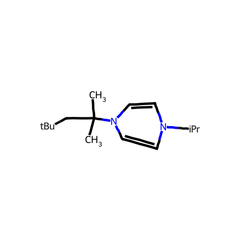 CC(C)N1C=CN(C(C)(C)CC(C)(C)C)C=C1